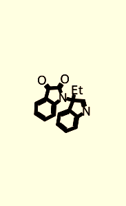 CCC1(N2C(=O)C(=O)c3ccccc32)C=Nc2ccccc21